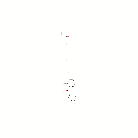 Cc1c(CCCCCCCCCCCC(=O)O)cccc1C(=O)c1ccc(Cl)cc1